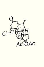 C=C1C[C@@H]2[C@H](CC[C@@]3(C)[C@H]2CC[C@]3(OC(C)=O)C(C)=O)[C@]2(C)C1=CC(=O)C[C@@H]2CCl